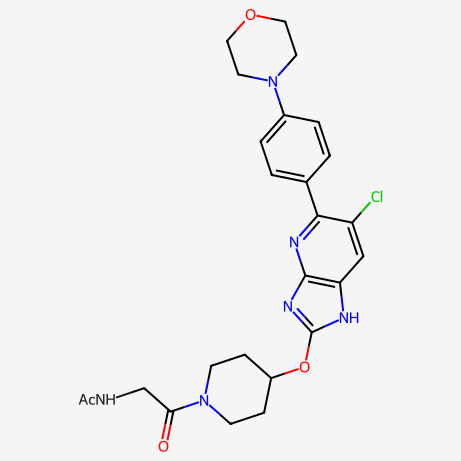 CC(=O)NCC(=O)N1CCC(Oc2nc3nc(-c4ccc(N5CCOCC5)cc4)c(Cl)cc3[nH]2)CC1